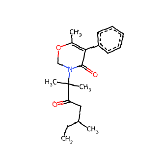 CCC(C)CC(=O)C(C)(C)N1COC(C)=C(c2ccccc2)C1=O